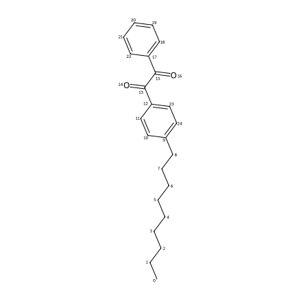 CCCCCCCCCc1ccc(C(=O)C(=O)c2ccccc2)cc1